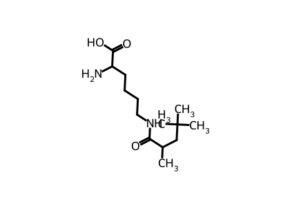 CC(CC(C)(C)C)C(=O)NCCCCC(N)C(=O)O